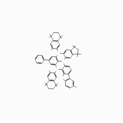 Cc1cc2c(cc1N1c3cc4c(cc3B3c5ccc6c(sc7ccc(C(C)(C)C)cc76)c5N(c5cc6c(cc5C)C(C)(C)CCC6(C)C)c5cc(-c6ccccc6)cc1c53)C(C)(C)CC4(C)C)C(C)(C)CCC2(C)C